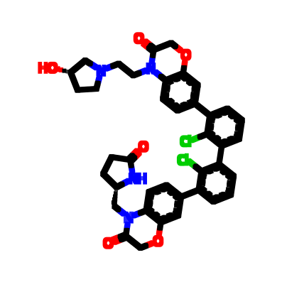 O=C1CC[C@@H](CN2C(=O)COc3cc(-c4cccc(-c5cccc(-c6ccc7c(c6)OCC(=O)N7CCN6CC[C@H](O)C6)c5Cl)c4Cl)ccc32)N1